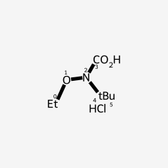 CCON(C(=O)O)C(C)(C)C.Cl